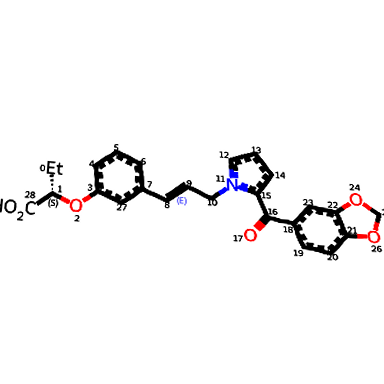 CC[C@H](Oc1cccc(/C=C/Cn2cccc2C(=O)c2ccc3c(c2)OCO3)c1)C(=O)O